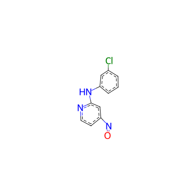 O=Nc1ccnc(Nc2cccc(Cl)c2)c1